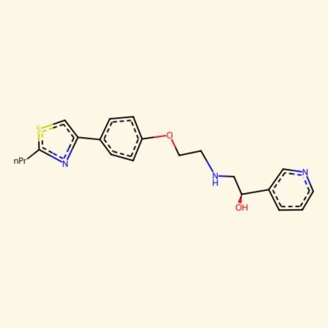 CCCc1nc(-c2ccc(OCCNC[C@H](O)c3cccnc3)cc2)cs1